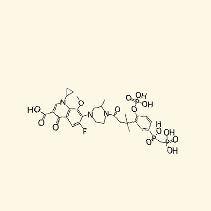 COc1c(N2CCN(C(=O)CC(C)(C)c3cc(P(=O)(O)CP(=O)(O)O)ccc3OP(=O)(O)O)C(C)C2)c(F)cc2c(=O)c(C(=O)O)cn(C3CC3)c12